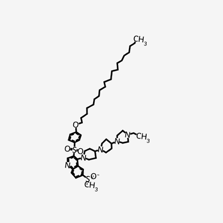 CCCCCCCCCCCCCCCCCCCCOc1ccc(S(=O)(=O)c2cnc3ccc([S@@+](C)[O-])cc3c2N2CCC(N3CCC(N4CCN(CC)CC4)CC3)CC2)cc1